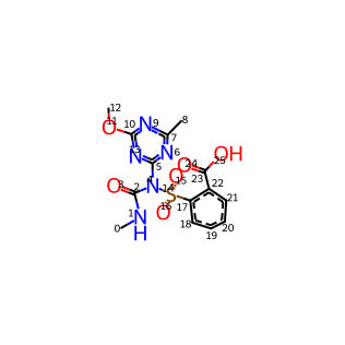 CNC(=O)N(c1nc(C)nc(OC)n1)S(=O)(=O)c1ccccc1C(=O)O